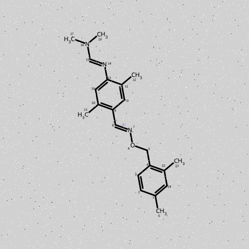 Cc1ccc(CO/N=C/c2cc(C)c(N=CN(C)C)cc2C)c(C)c1